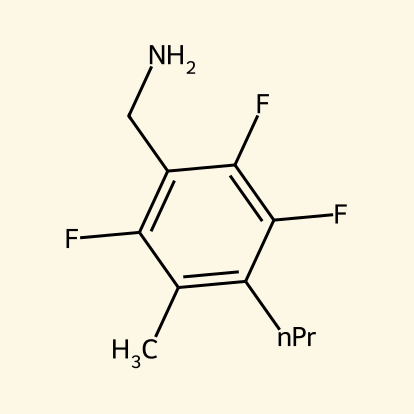 CCCc1c(C)c(F)c(CN)c(F)c1F